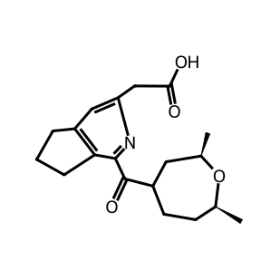 C[C@@H]1CC(C(=O)c2nc(CC(=O)O)cc3c2CCC3)CC[C@H](C)O1